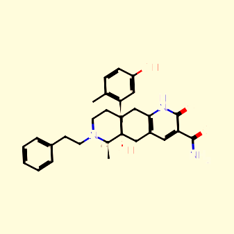 Cc1ccc(O)cc1[C@]12CCN(CCc3ccccc3)[C@H](C)[C@]1(O)Cc1cc(C(N)=O)c(=O)[nH]c1C2